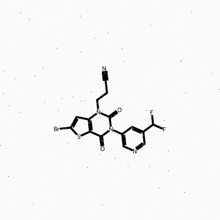 N#CCCn1c(=O)n(-c2cncc(C(F)F)c2)c(=O)c2sc(Br)cc21